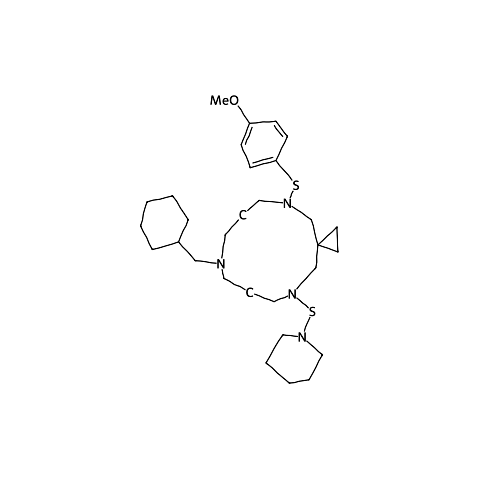 COc1ccc(SN2CCCN(CC3CCCCC3)CCCN(SN3CCCCC3)CC3(CC3)C2)cc1